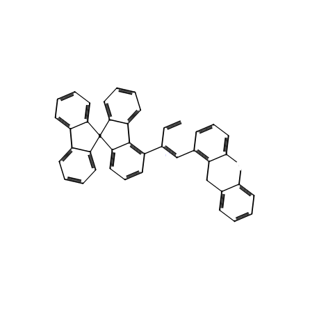 C=C/C(=C\c1cccc2c1Cc1ccccc1O2)c1cccc2c1-c1ccccc1C21c2ccccc2-c2ccccc21